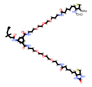 C#CCC(C)(C)CC(=O)Nc1cc(C(=O)NCCCOCCOCCOCCCNC(=O)CCCCC2SCC(NC)C2NC=O)cc(C(=O)NCCCOCCOCCOCCCNC(=O)CCCCC2SCC3NC(=O)NC32)c1